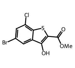 COC(=O)c1sc2c(Cl)cc(Br)cc2c1O